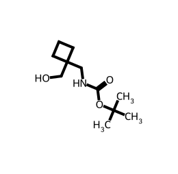 CC(C)(C)OC(=O)NCC1(CO)CCC1